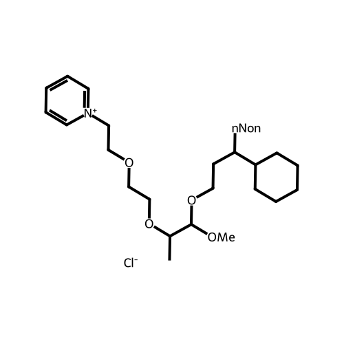 CCCCCCCCCC(CCOC(OC)C(C)OCCOCC[n+]1ccccc1)C1CCCCC1.[Cl-]